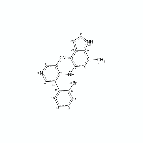 Cc1cc(Nc2c(C#N)cncc2-c2ccccc2Br)cc2cc[nH]c12